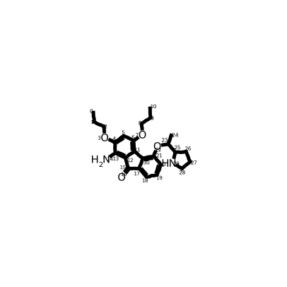 CCCOc1cc(OCCC)c2c(c1N)C(=O)c1cccc(OC(C)C3CCCN3)c1-2